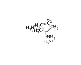 C=C.C=CC.N.N.N.N